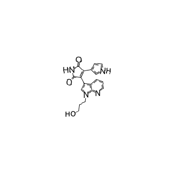 O=C1NC(=O)C(c2cn(CCCO)c3ncccc23)=C1c1cc[nH]c1